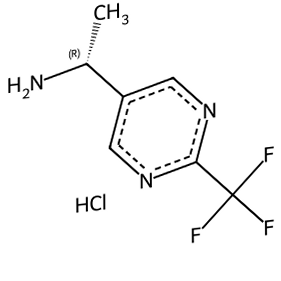 C[C@@H](N)c1cnc(C(F)(F)F)nc1.Cl